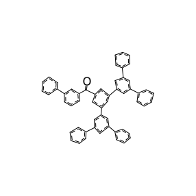 O=C(c1cccc(-c2ccccc2)c1)c1cc(-c2cc(-c3ccccc3)cc(-c3ccccc3)c2)cc(-c2cc(-c3ccccc3)cc(-c3ccccc3)c2)c1